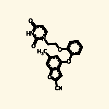 Cc1cc(Oc2ccccc2OCCn2ccc(=O)[nH]c2=O)c2cc(C#N)oc2c1